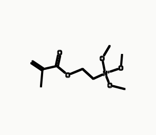 C=C(C)C(=O)OCC[N+](OC)(OC)OC